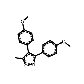 COc1ccc(-c2noc(C)c2-c2ccc(OC)cc2)cc1